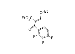 CCOC=C(C(=O)OCC)C(=O)c1ccc(F)c(F)c1F